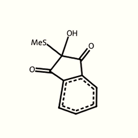 CSC1(O)C(=O)c2ccccc2C1=O